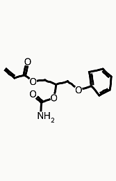 C=CC(=O)OCC(COc1ccccc1)OC(N)=O